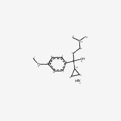 Br.COc1ccc(C(O)(CCN(C)C)C2CC2)cc1